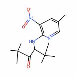 Cc1cnc(NC(C(=O)C(C)(C)C)C(C)(C)C)c([N+](=O)[O-])c1